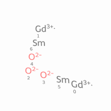 [Gd+3].[Gd+3].[O-2].[O-2].[O-2].[Sm].[Sm]